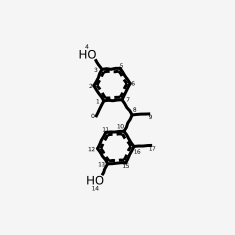 Cc1cc(O)ccc1C(C)c1ccc(O)cc1C